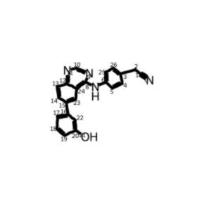 N#CCc1ccc(Nc2ncnc3ccc(-c4cccc(O)c4)cc23)cc1